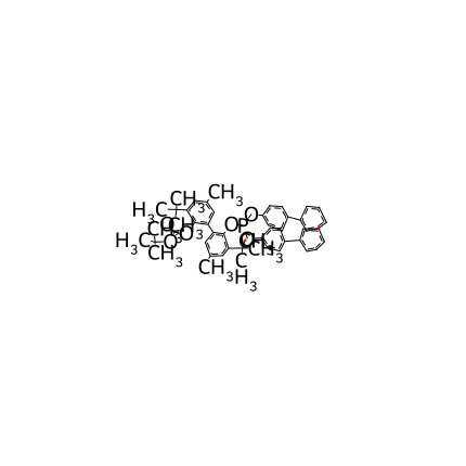 Cc1cc(-c2cc(C)cc(C(C)(C)C)c2OP(Oc2ccc(-c3ccccc3)cc2)Oc2ccc(-c3ccccc3)cc2)c(OC(=O)OC(C)(C)C)c(C(C)(C)C)c1